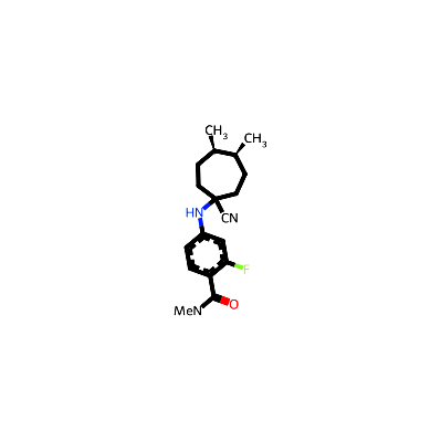 CNC(=O)c1ccc(NC2(C#N)CC[C@@H](C)[C@@H](C)CC2)cc1F